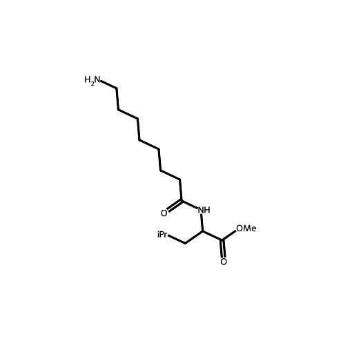 COC(=O)C(CC(C)C)NC(=O)CCCCCCCN